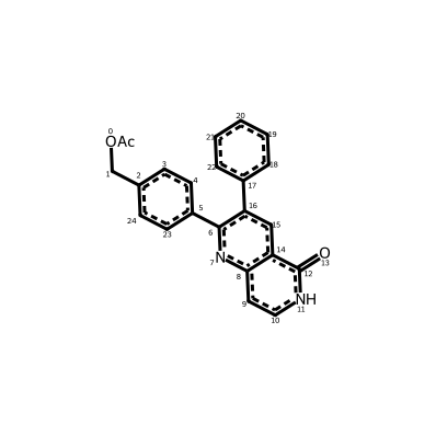 CC(=O)OCc1ccc(-c2nc3cc[nH]c(=O)c3cc2-c2ccccc2)cc1